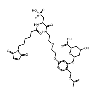 CC(=O)OCc1ccc(OCCOCCNC(=O)C(CS(=O)(=O)O)NC(=O)CCCCCN2C(=O)C=CC2=O)cc1OC1CC(O)CC(C(=O)O)O1